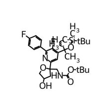 CC(C)(C)OC(=O)NCC1(c2cc(C(C)(C)O[Si](C)(C)C(C)(C)C)c(F)c(-c3ccc(F)cc3)n2)CC(O)CO1